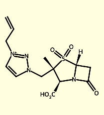 C=CC[n+]1ccn(C[C@@]2(C)[C@H](C(=O)O)N3C(=O)C[C@H]3S2(=O)=O)n1